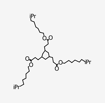 CC(C)CCCCCCOC(=O)CCC1CC(CCC(=O)OCCCCCCC(C)C)CC(CCC(=O)OCCCCCCC(C)C)C1